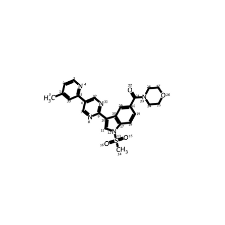 Cc1ccnc(-c2cnc(-c3cn(S(C)(=O)=O)c4ccc(C(=O)N5CCOCC5)cc34)nc2)c1